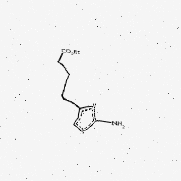 CCOC(=O)CCCc1csc(N)n1